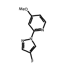 COc1ccnc(-n2cc(F)cn2)c1